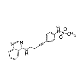 CS(=O)(=O)Nc1ccc(C#CCCNc2ncnc3ccccc23)cc1